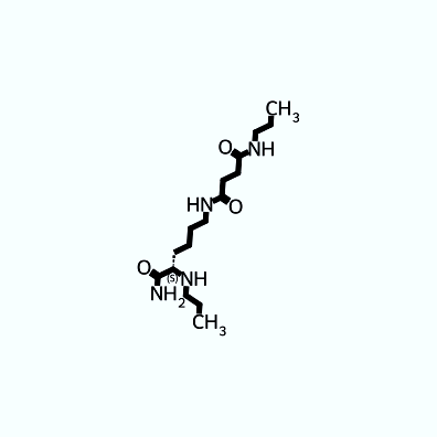 CCCNC(=O)CCC(=O)NCCCC[C@H](NCCC)C(N)=O